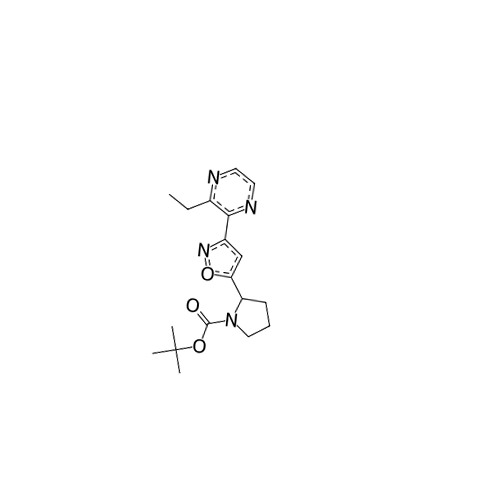 CCc1nccnc1-c1cc(C2CCCN2C(=O)OC(C)(C)C)on1